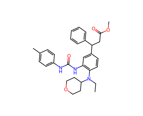 CCN(c1ccc(C(CC(=O)OC)c2ccccc2)cc1NC(=O)Nc1ccc(C)cc1)C1CCOCC1